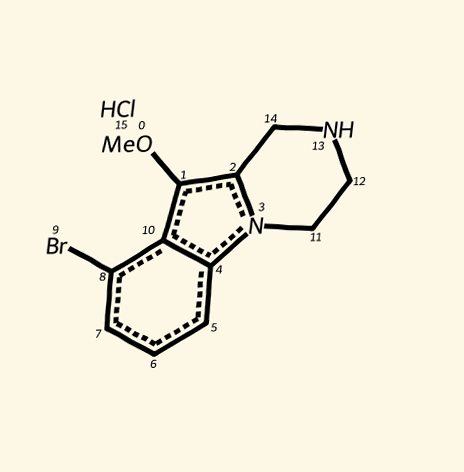 COc1c2n(c3cccc(Br)c13)CCNC2.Cl